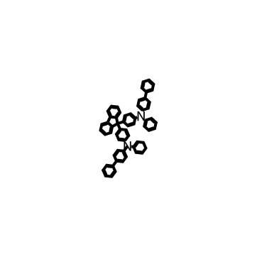 C1=CC(N(c2ccc(-c3ccccc3)cc2)c2ccc(C3(c4ccc(N(c5ccccc5)c5ccc(-c6ccccc6)cc5)cc4)c4ccccc4-c4ccccc43)cc2)=CCC1